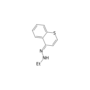 CCNN=c1ccsc2ccccc12